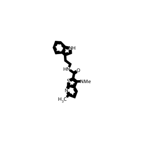 CNc1c(C(=O)NCCc2c[nH]c3ccccc23)sc2nc(C)ccc12